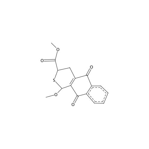 COC(=O)C1CC2=C(C(=O)c3ccccc3C2=O)C(OC)S1